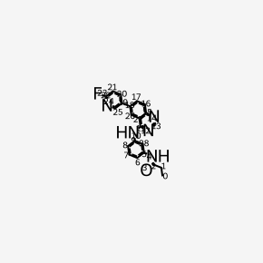 CCC(=O)Nc1cccc(Nc2ncnc3ccc(-c4ccc(F)nc4)cc23)c1